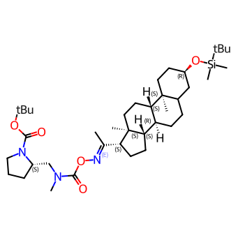 C/C(=N\OC(=O)N(C)C[C@@H]1CCCN1C(=O)OC(C)(C)C)[C@H]1CC[C@H]2[C@@H]3CCC4C[C@H](O[Si](C)(C)C(C)(C)C)CC[C@]4(C)[C@H]3CC[C@]12C